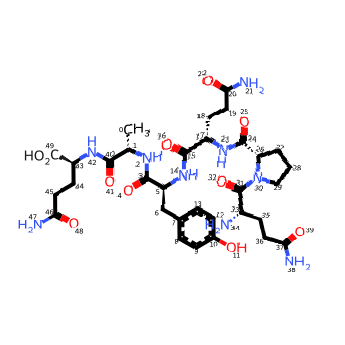 C[C@H](NC(=O)[C@H](Cc1ccc(O)cc1)NC(=O)[C@H](CCC(N)=O)NC(=O)[C@@H]1CCCN1C(=O)[C@@H](N)CCC(N)=O)C(=O)N[C@@H](CCC(N)=O)C(=O)O